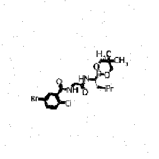 CC(C)C[C@H](NC(=O)CNC(=O)c1cc(Br)ccc1Cl)B1OCC(C)(C)CO1